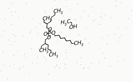 CCCCCCCCOP(=O)(OCC(CC)CCCC)OCC(CC)CCCC.CCO